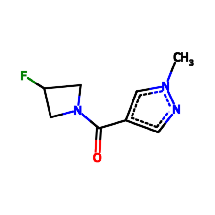 Cn1cc(C(=O)N2CC(F)C2)cn1